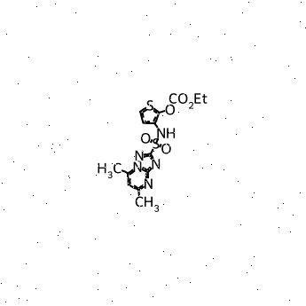 CCOC(=O)Oc1sccc1NS(=O)(=O)c1nc2nc(C)cc(C)n2n1